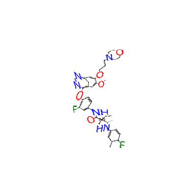 CC[C@@](C)(C(=O)Nc1ccc(OC2=C3C=C(OC)C(OCCCN4CCOCC4)=CC(=NC=N2)C3)c(F)c1)C(C)NC1=CC(C)C(F)C=C1